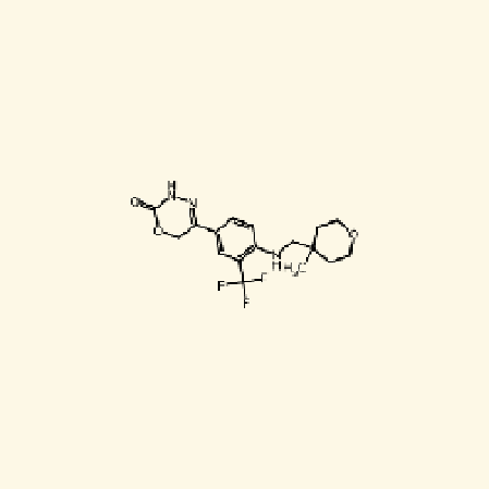 CC1(CNc2ccc(C3=NNC(=O)OC3)cc2C(F)(F)F)CCOCC1